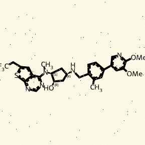 COc1cc(-c2ccc(CN[C@H]3C[C@@H](O)[C@@H](N(C)c4ncnc5sc(CC(F)(F)F)cc45)C3)c(C)c2)cnc1OC